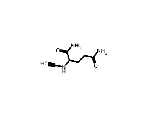 C#CNC(CCC(N)=O)C(N)=O